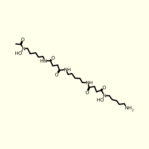 CC(=O)N(O)CCCCCNC(=O)CCC(=O)NCCCCCNC(=O)CCC(=O)N(O)CCCCCN